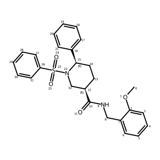 COc1ccccc1CNC(=O)[C@@H]1CC[C@H](c2ccccc2)N(S(=O)(=O)c2ccccc2)C1